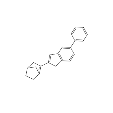 C1=C(C2=C3CCC(C3)C2)Cc2ccc(-c3ccccc3)cc21